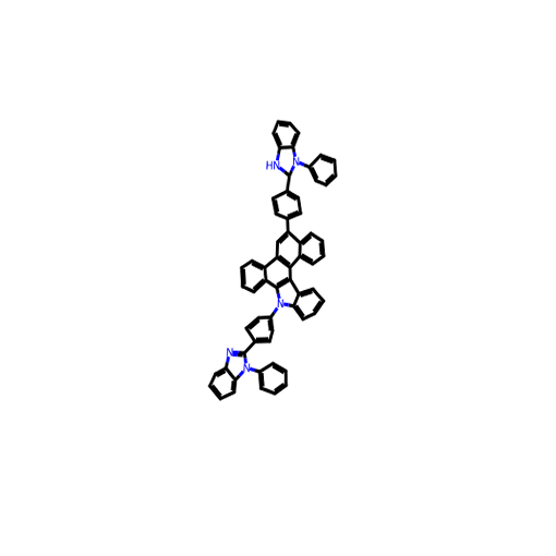 c1ccc(N2c3ccccc3NC2c2ccc(-c3cc4c5ccccc5c5c(c6ccccc6n5-c5ccc(-c6nc7ccccc7n6-c6ccccc6)cc5)c4c4ccccc34)cc2)cc1